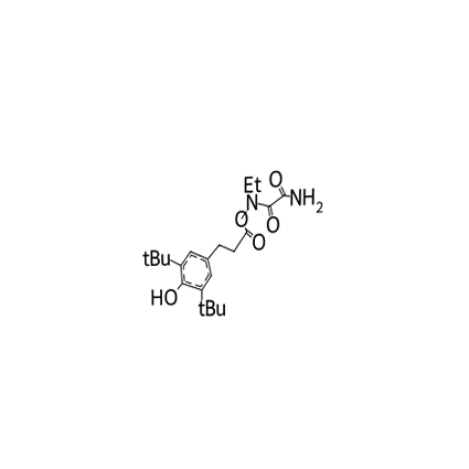 CCN(OC(=O)CCc1cc(C(C)(C)C)c(O)c(C(C)(C)C)c1)C(=O)C(N)=O